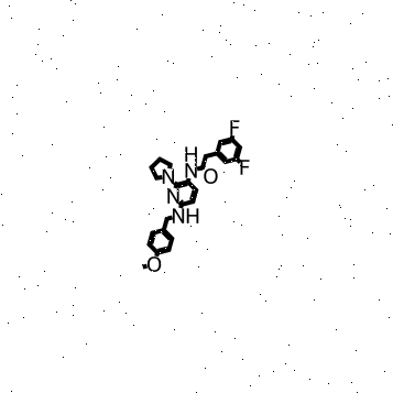 COc1ccc(CNc2ccc(NC(=O)Cc3cc(F)cc(F)c3)c(N3CCCC3)n2)cc1